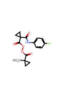 O=C(O)C1(C(=O)OOC(=O)C2(C(=O)Nc3ccc(F)cc3)CC2)CC1